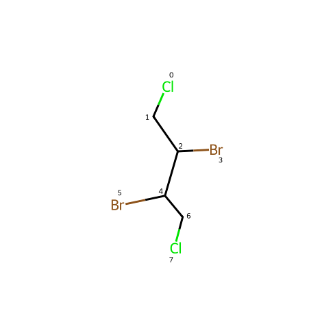 ClCC(Br)C(Br)CCl